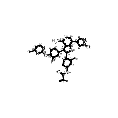 C=C(C)C(=O)Nc1ccc(-c2sc3c(-c4cnn(CC)c4)cnc(N)c3c2-c2ccc(Oc3nccc(C)n3)c(F)c2)c(C)c1